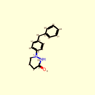 O=C1CCCN(c2ccc(Cc3ccccc3)cc2)N1